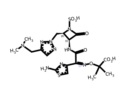 CN(C)Cc1cnn(C[C@@H]2[C@H](NC(=O)/C(=N\OC(C)(C)C(=O)O)c3csc(N)n3)C(=O)N2S(=O)(=O)O)n1